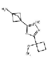 Cl.NC12CC(c3nnc(C4(OC(F)(F)F)CCC4)o3)(C1)C2